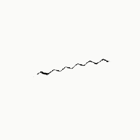 CC=CCCCCCCCCCBr